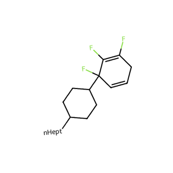 CCCCCCCC1CCC(C2(F)C=CCC(F)=C2F)CC1